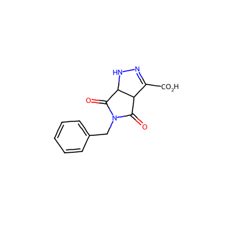 O=C(O)C1=NNC2C(=O)N(Cc3ccccc3)C(=O)C12